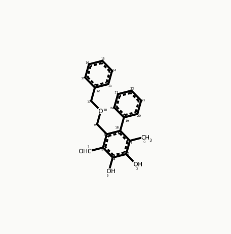 Cc1c(O)c(O)c(C=O)c(COCc2ccccc2)c1-c1ccccc1